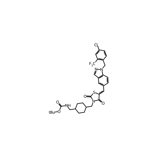 CC(C)(C)OC(=O)NCC1CCC(CN2C(=O)SC(=Cc3ccc4c(cnn4Cc4ccc(Cl)cc4C(F)(F)F)c3)C2=O)CC1